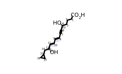 O=C(O)CCC[C@H](O)C#C/C=C/C=C/[C@H](O)CC1CC1